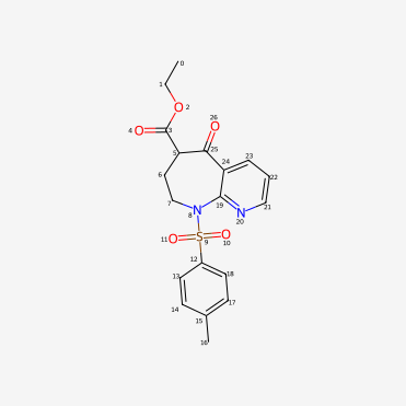 CCOC(=O)C1CCN(S(=O)(=O)c2ccc(C)cc2)c2ncccc2C1=O